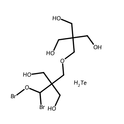 OCC(CO)(CO)COCC(CO)(CO)C(Br)OBr.[TeH2]